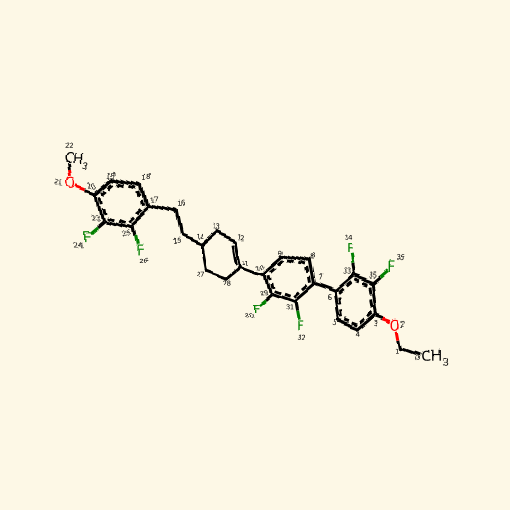 CCOc1ccc(-c2ccc(C3=CCC(CCc4ccc(OC)c(F)c4F)CC3)c(F)c2F)c(F)c1F